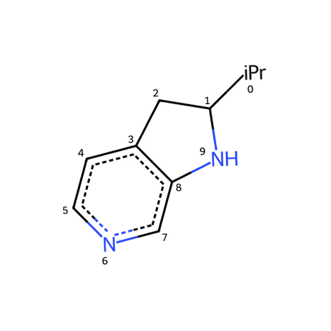 CC(C)C1Cc2ccncc2N1